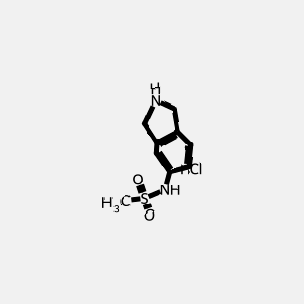 CS(=O)(=O)Nc1ccc2c(c1)CNC2.Cl